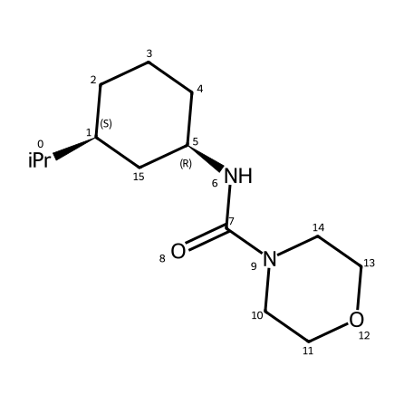 CC(C)[C@H]1CCC[C@@H](NC(=O)N2CCOCC2)C1